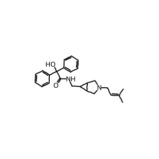 CC(C)=CCN1CC2C(CNC(=O)C(O)(c3ccccc3)c3ccccc3)C2C1